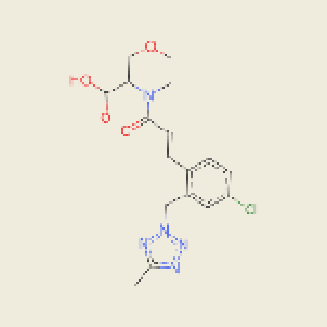 Cc1nnn(Cc2cc(Cl)ccc2C=CC(=O)N2CCOCC2C(=O)O)n1